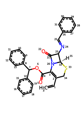 C=CC1=C(C(=O)OC(c2ccccc2)c2ccccc2)N2C(=O)C(/N=C/c3ccccc3)[C@H]2SC1